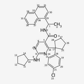 CC(NC(=O)c1cnc(NC2CCCC2)nc1C1(c2ccc(Cl)cc2)CCCC1)c1cccc2ccccc12